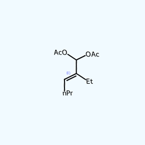 CCC/C=C(\CC)C(OC(C)=O)OC(C)=O